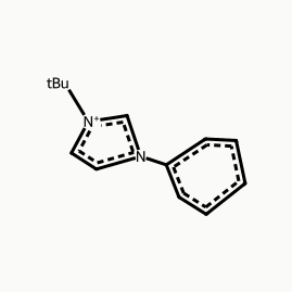 CC(C)(C)[n+]1ccn(-c2ccccc2)c1